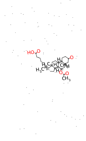 CC(=O)O[C@@H]1C[C@@H]2CC(=O)CC[C@]2(C)[C@H]2CC[C@]3(C)[C@@H]([C@H](C)CCCCC(=O)O)CC[C@H]3[C@H]12